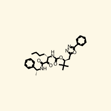 CCCC[C@H](NC(=O)O[C@@H](Cc1nnc(-c2ccccc2)o1)C(C)(C)C)C(=O)C(=O)N[C@H](C)c1ccccc1